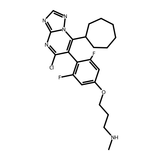 CNCCCOc1cc(F)c(-c2c(Cl)nc3ncnn3c2C2CCCCCC2)c(F)c1